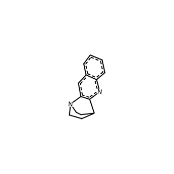 c1ccc2nc3c(cc2c1)N1CCC3CC1